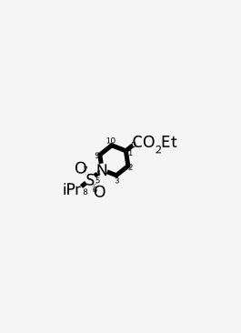 CCOC(=O)C1CCN(S(=O)(=O)C(C)C)CC1